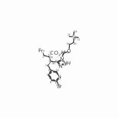 CC(C)C[C@H](C(=O)O)[C@H](Cc1ccc(Br)nc1)c1n[nH]n1COCC[Si](C)(C)C